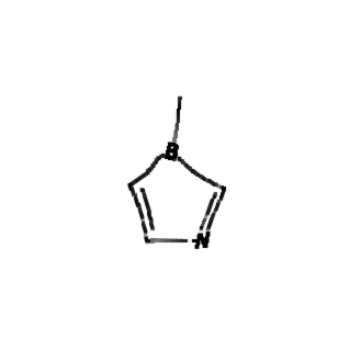 CB1C=CN=C1